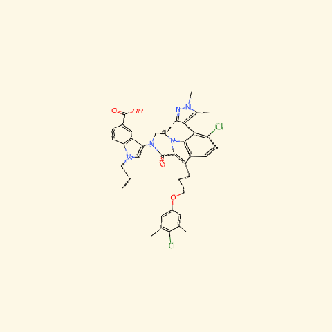 CCCn1cc(N2C[C@@H](C)n3c(c(CCCOc4cc(C)c(Cl)c(C)c4)c4ccc(Cl)c(-c5c(C)nn(C)c5C)c43)C2=O)c2cc(C(=O)O)ccc21